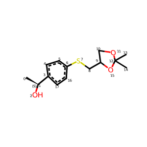 C[C@H](O)c1ccc(SCC2COC(C)(C)O2)cc1